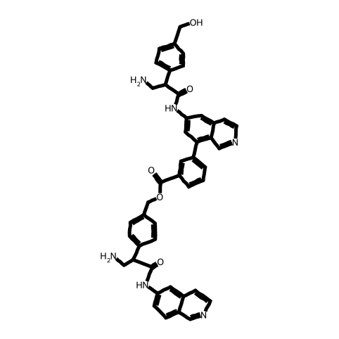 NCC(C(=O)Nc1ccc2cnccc2c1)c1ccc(COC(=O)c2cccc(-c3cc(NC(=O)C(CN)c4ccc(CO)cc4)cc4ccncc34)c2)cc1